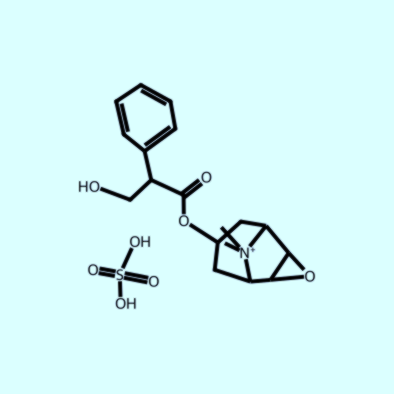 C[N+]1(C)C2CC(OC(=O)C(CO)c3ccccc3)CC1C1OC12.O=S(=O)(O)O